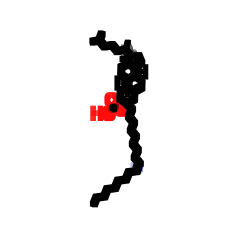 CCCCCCCC/C=C\CCCCCCCCC1(OC(=O)O)CC[C@@]2(C)C(=CC[C@H]3[C@@H]4CC[C@H]([C@H](C)CCCC(C)C)[C@@]4(C)CC[C@@H]32)C1